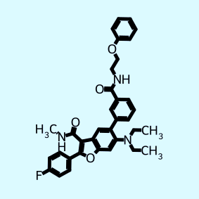 CCN(CC)c1cc2oc(-c3ccc(F)cc3)c(C(=O)NC)c2cc1-c1cccc(C(=O)NCCOc2ccccc2)c1